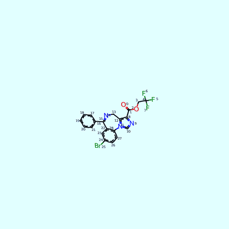 O=C(OCC(F)(F)F)c1ncn2c1CN=C(c1ccccc1)c1cc(Br)ccc1-2